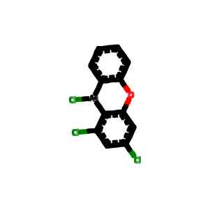 Clc1cc(Cl)c2c(c1)Oc1ccccc1[As]2Cl